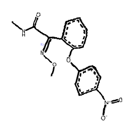 CNC(=O)/C(=N/OC)c1ccccc1Oc1ccc([N+](=O)[O-])cc1